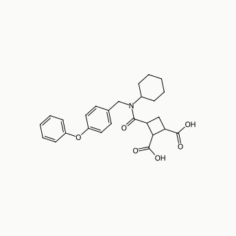 O=C(O)C1CC(C(=O)N(Cc2ccc(Oc3ccccc3)cc2)C2CCCCC2)C1C(=O)O